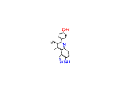 CCCc1c(-c2ccc(O)cc2)nc2ccc3[nH]ncc3c2c1C